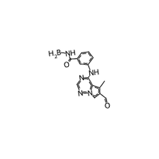 BNC(=O)c1cccc(Nc2ncnn3cc(C=O)c(C)c23)c1